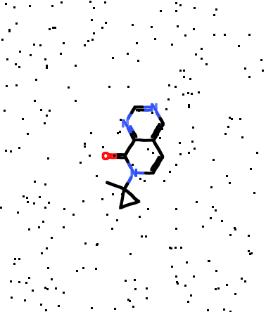 CC1(n2ccc3cncnc3c2=O)CC1